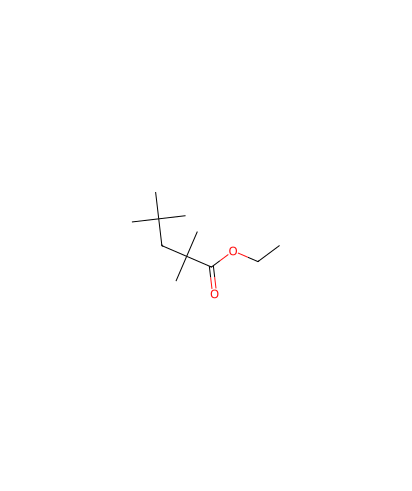 CCOC(=O)C(C)(C)CC(C)(C)C